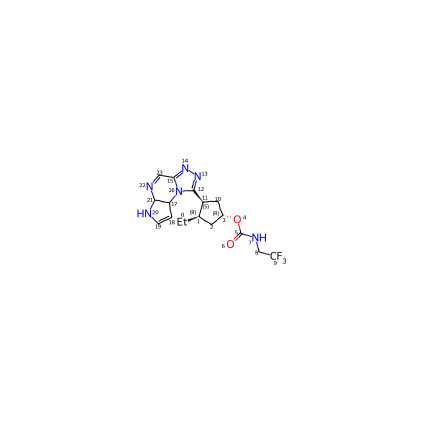 CC[C@@H]1C[C@@H](OC(=O)NCC(F)(F)F)C[C@@H]1c1nnc2n1C1C=CNC1N=C2